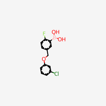 OB(O)c1cc(COc2cccc(Cl)c2)ccc1F